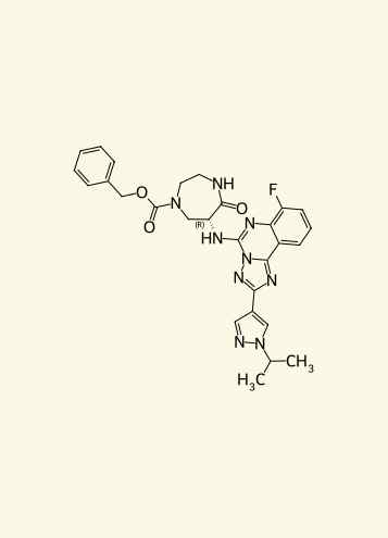 CC(C)n1cc(-c2nc3c4cccc(F)c4nc(N[C@@H]4CN(C(=O)OCc5ccccc5)CCNC4=O)n3n2)cn1